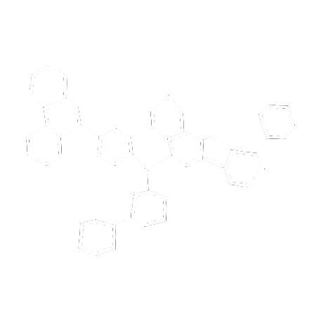 c1ccc(-c2cccc(N(c3ccc(-c4cc5ccccc5c5ccccc45)cc3)c3cc4c5cccc(-c6ccccc6)c5oc4c4ccccc34)c2)cc1